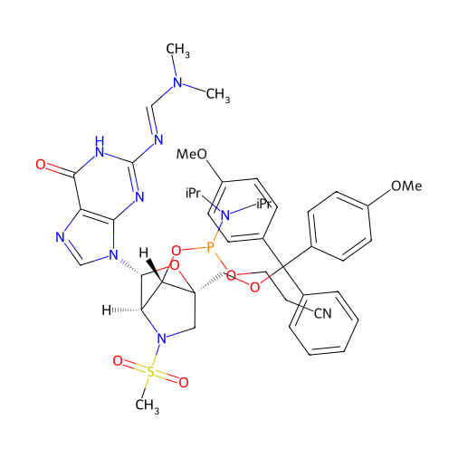 COc1ccc(C(OC[C@@]23CN(S(C)(=O)=O)[C@@H]([C@H](n4cnc5c(=O)[nH]c(N=CN(C)C)nc54)O2)[C@@H]3OP(OCCC#N)N(C(C)C)C(C)C)(c2ccccc2)c2ccc(OC)cc2)cc1